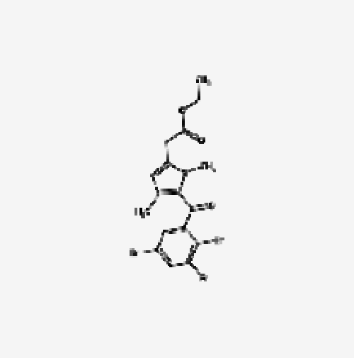 CCOC(=O)Cc1cc(C)c(C(=O)c2cc(Br)cc(Br)c2Br)n1C